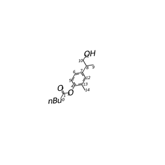 CCCCC(=O)Oc1ccc(C(C)CO)cc1C